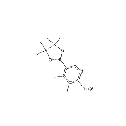 Cc1c(B2OC(C)(C)C(C)(C)O2)cnc(C(=O)O)c1C